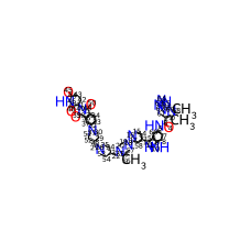 CC1=C(C(=O)Nc2ccc3[nH]nc(-c4ccnc(N5CCN(CC6CCN(CC7CCN(c8ccc9c(c8)C(=O)N(C8CCC(=O)NC8=O)C9=O)CC7)CC6)[C@@H](C)C5)c4)c3c2)Cn2nnnc2N1C